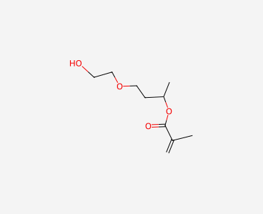 C=C(C)C(=O)OC(C)CCOCCO